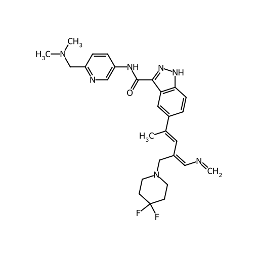 C=N/C=C(\C=C(/C)c1ccc2[nH]nc(C(=O)Nc3ccc(CN(C)C)nc3)c2c1)CN1CCC(F)(F)CC1